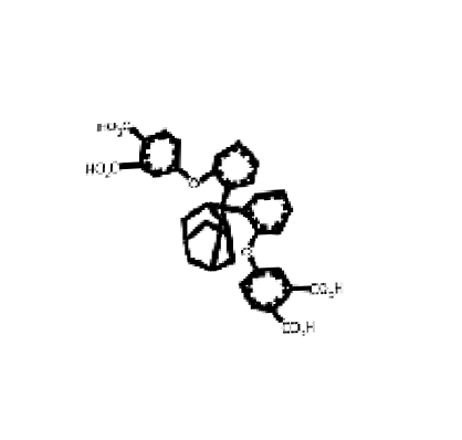 O=C(O)c1ccc(Oc2ccccc2C2(c3ccccc3Oc3ccc(C(=O)O)c(C(=O)O)c3)C3CC4CC(C3)CC2C4)cc1C(=O)O